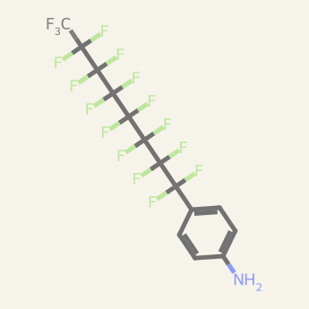 Nc1ccc(C(F)(F)C(F)(F)C(F)(F)C(F)(F)C(F)(F)C(F)(F)C(F)(F)C(F)(F)F)cc1